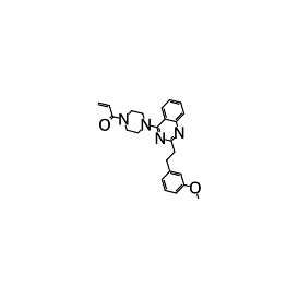 C=CC(=O)N1CCN(c2nc(CCc3cccc(OC)c3)nc3ccccc23)CC1